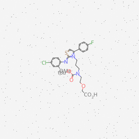 COc1cc(Cl)ccc1N=c1scc(-c2ccc(F)cc2)n1CCCN(CCOCC(=O)O)C(=O)OC(C)(C)C